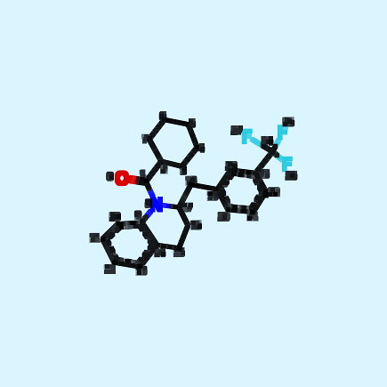 O=C(C1CCCCC1)N1c2ccccc2CCC1Cc1cc[c]c(C(F)(F)F)c1